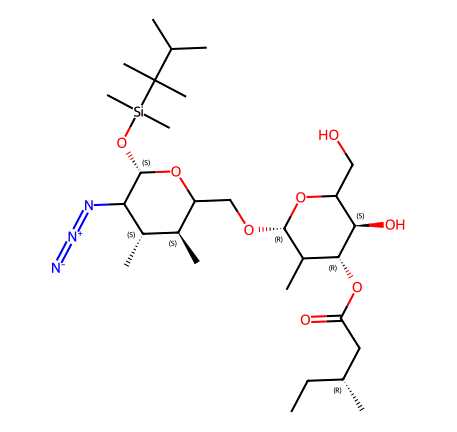 CC[C@@H](C)CC(=O)O[C@@H]1C(C)[C@H](OCC2O[C@@H](O[Si](C)(C)C(C)(C)C(C)C)C(N=[N+]=[N-])[C@@H](C)[C@@H]2C)OC(CO)[C@H]1O